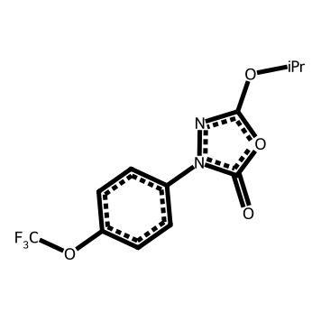 CC(C)Oc1nn(-c2ccc(OC(F)(F)F)cc2)c(=O)o1